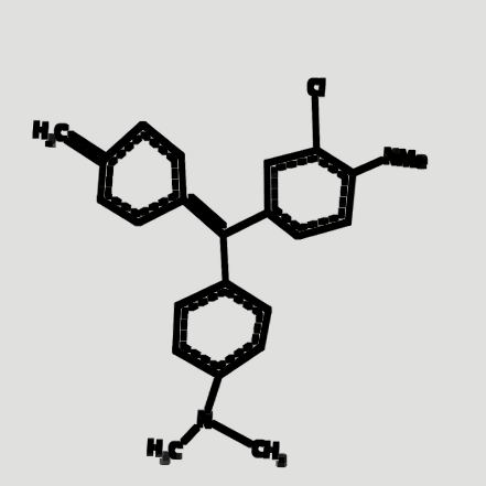 C=c1ccc(=C(c2ccc(N(C)C)cc2)c2ccc(NC)c(Cl)c2)cc1